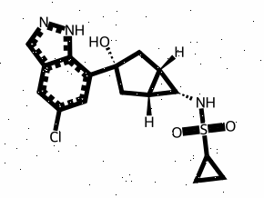 O=S(=O)(N[C@@H]1[C@@H]2C[C@@](O)(c3cc(Cl)cc4cn[nH]c34)C[C@@H]21)C1CC1